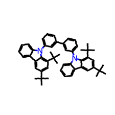 CC(C)(C)c1cc(C(C)(C)C)c2c(c1)c1ccccc1n2-c1cccc(-c2cccc(-n3c4ccccc4c4cc(C(C)(C)C)cc(C(C)(C)C)c43)c2)c1